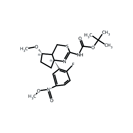 CO[C@H]1CC[C@]2(c3cc([N+](=O)OC)ccc3F)N=C(NC(=O)OC(C)(C)C)SCC12